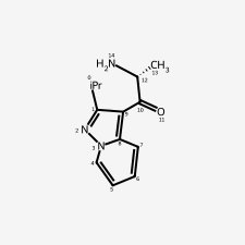 CC(C)c1nn2ccccc2c1C(=O)[C@@H](C)N